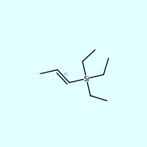 [CH2]/C=C/[Si](CC)(CC)CC